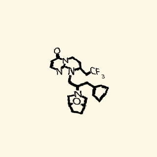 O=c1ccnc2n1CCC(CC(F)(F)F)N2CC(Cc1ccccc1)N1CC2CCC(C1)O2